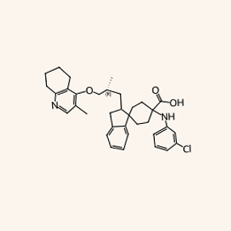 Cc1cnc2c(c1OC[C@H](C)CC1Cc3ccccc3C13CCC(Nc1cccc(Cl)c1)(C(=O)O)CC3)CCCC2